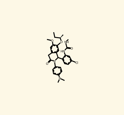 CC[C@@H](C)Oc1cc2c(cc1OC)CC(=O)N(c1ccc(N(C)C)cc1)C2c1ccc(Cl)cc1NC(=O)NC